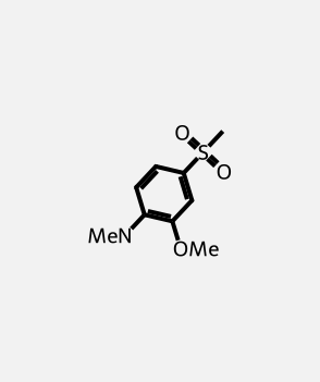 CNc1ccc(S(C)(=O)=O)cc1OC